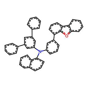 c1ccc(-c2cc(-c3ccccc3)cc(N(c3cccc(-c4cccc5c4oc4ccccc45)c3)c3cccc4ccccc34)c2)cc1